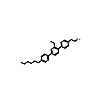 CCCCCCc1ccc(-c2ccc(-c3ccc(CCO)cc3)c(CC)c2)cc1